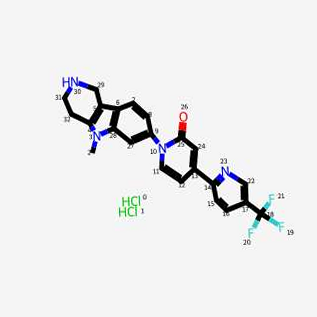 Cl.Cl.Cn1c2c(c3ccc(-n4ccc(-c5ccc(C(F)(F)F)cn5)cc4=O)cc31)CNCC2